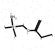 B[N+](C)(C)COC(=C)CC